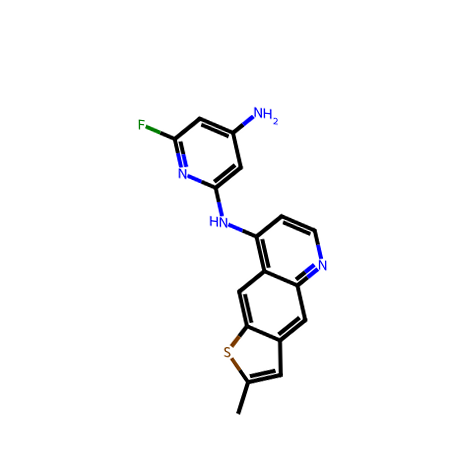 Cc1cc2cc3nccc(Nc4cc(N)cc(F)n4)c3cc2s1